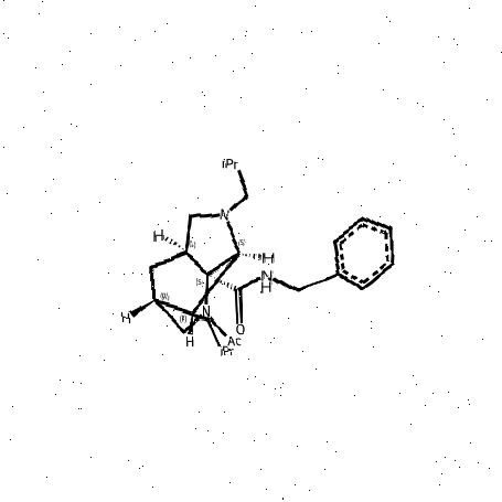 CC(=O)N1C[C@@H]2C[C@H]3CN(CC(C)C)[C@@H]([C@@H]2CC(C)C)[C@]31C(=O)NCc1ccccc1